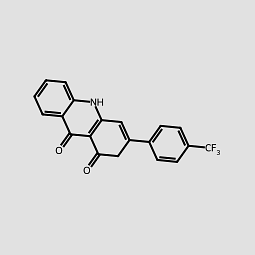 O=C1CC(c2ccc(C(F)(F)F)cc2)=Cc2[nH]c3ccccc3c(=O)c21